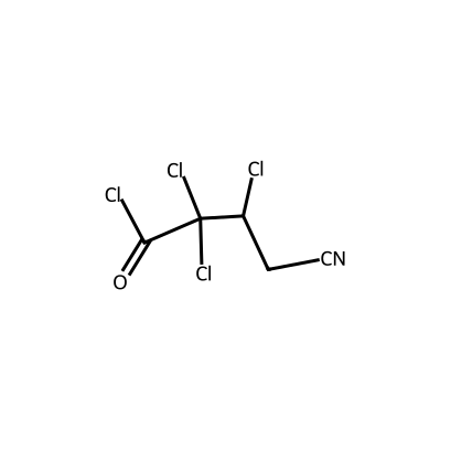 N#CCC(Cl)C(Cl)(Cl)C(=O)Cl